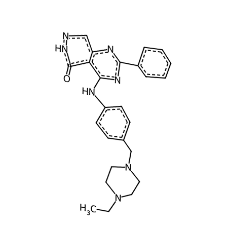 CCN1CCN(Cc2ccc(Nc3nc(-c4ccccc4)nc4cn[nH]c(=O)c34)cc2)CC1